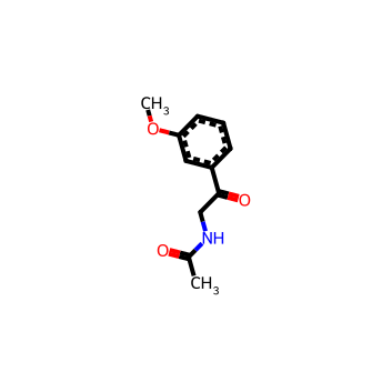 COc1cccc(C(=O)CNC(C)=O)c1